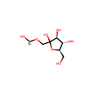 OBOCC1(O)O[C@H](CO)[C@@H](O)[C@@H]1O